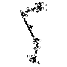 CCOC(C)(P)CC(COCCCNC(=O)CCN1C(=O)CC(SCCCCCCC(CCCCCCSC2CC(=O)N(CCC(=O)NCCCOCC(CC(C)(P)OCC)C(C)(P)OCC)C2=O)C(C)(C)C)C1=O)C(C)P